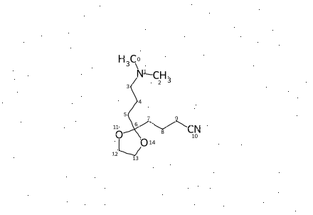 CN(C)CCCC1(CCCC#N)OCCO1